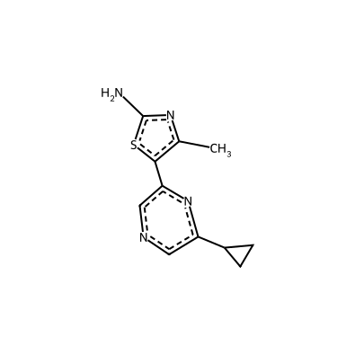 Cc1nc(N)sc1-c1cncc(C2CC2)n1